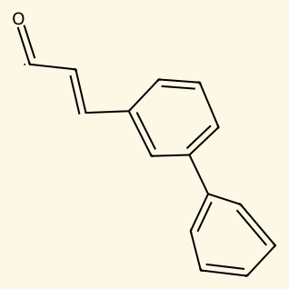 O=[C]C=Cc1cccc(-c2ccccc2)c1